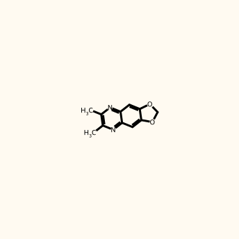 Cc1nc2cc3c(cc2nc1C)OCO3